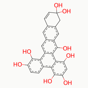 Oc1ccc2c(c1O)c1cc3cc4c(cc3c(O)c1c1c(O)cc(O)c(O)c21)CC(O)(O)C=C4